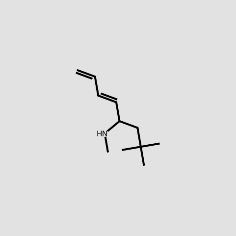 C=CC=CC(CC(C)(C)C)NC